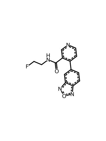 O=C(NCCF)c1cnccc1-c1ccc2nonc2c1